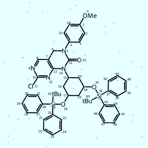 COc1ccc(N2Cc3cnc(Cl)nc3N(C3CC(O[Si](c4ccccc4)(c4ccccc4)C(C)(C)C)CC(O[Si](c4ccccc4)(c4ccccc4)C(C)(C)C)C3)C2=O)cc1